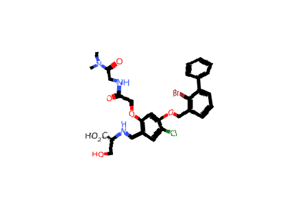 CN(C)C(=O)CNC(=O)COc1cc(OCc2cccc(-c3ccccc3)c2Br)c(Cl)cc1CN[C@@H](CO)C(=O)O